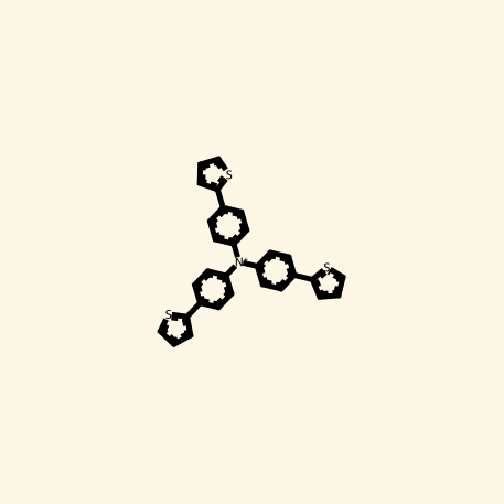 c1csc(-c2ccc([N+](c3ccc(-c4cccs4)cc3)c3ccc(-c4cccs4)cc3)cc2)c1